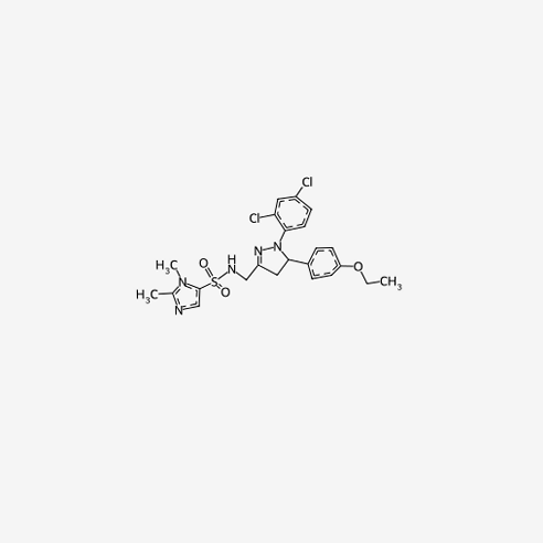 CCOc1ccc(C2CC(CNS(=O)(=O)c3cnc(C)n3C)=NN2c2ccc(Cl)cc2Cl)cc1